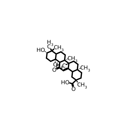 CC1(C)C2CC[C@]3(C)C(C(=O)C=C4C5C[C@@](C)(C(=O)O)CC[C@]5(C)CC[C@]43C)[C@@]2(C)CC[C@@H]1O